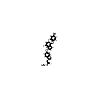 COC(=O)C[C@@H]1COc2cc(O[C@@H]3CCc4c(Oc5ccc(Br)cc5F)ccc(F)c43)ccc21